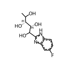 CC(O)[C@@H](O)[C@H](O)C(O)c1nc2cc(F)ccc2[nH]1